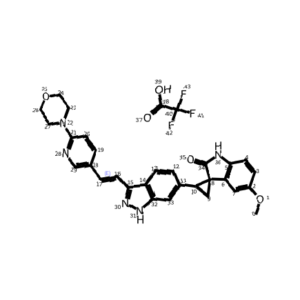 COc1ccc2c(c1)C1(CC1c1ccc3c(/C=C/c4ccc(N5CCOCC5)nc4)n[nH]c3c1)C(=O)N2.O=C(O)C(F)(F)F